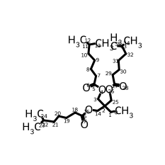 CCC(COC(=O)CCCCC(C)C)(COC(=O)CCCCC(C)C)COC(=O)CCCCC(C)C